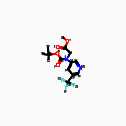 COC(=O)CN(C(=O)OC(C)(C)C)c1cncc(C(F)(F)F)c1